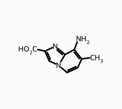 Cc1ccn2cc(C(=O)O)nc2c1N